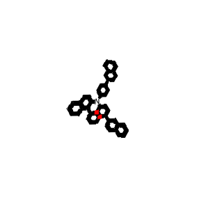 c1ccc(-c2c(N(c3ccc(-c4ccc5ccccc5c4)cc3)c3ccc(-c4ccc5ccccc5c4)cc3)ccc3ccccc23)cc1